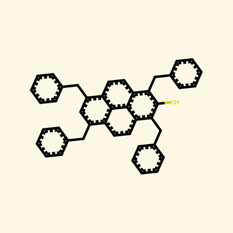 Sc1c(Cc2ccccc2)c2ccc3c(Cc4ccccc4)cc(Cc4ccccc4)c4ccc(c1Cc1ccccc1)c2c34